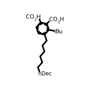 CCCCCCCCCCCCCCCCc1ccc(C(=O)O)c(C(=O)O)c1C(C)CC